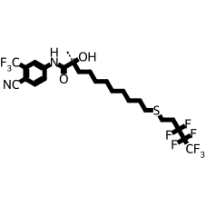 C[C@](O)(CCCCCCCCCSCCC(F)(F)C(F)(F)C(F)(F)F)C(=O)Nc1ccc(C#N)c(C(F)(F)F)c1